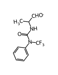 CC([C]=O)NC(=O)N(c1ccccc1)C(F)(F)F